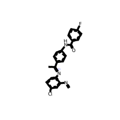 C=Nc1cc(Cl)ccc1/N=C(\C)c1ccc(NC(=O)c2ccc(F)cc2)cc1